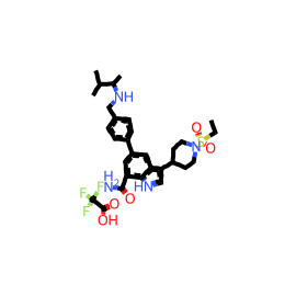 CCS(=O)(=O)N1CCC(c2c[nH]c3c(C(N)=O)cc(-c4ccc(CNC(C)C(C)C)cc4)cc23)CC1.O=C(O)C(F)(F)F